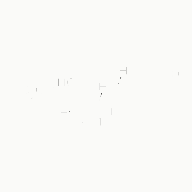 C[C@]12CCC(=O)C=C1C=C[C@H]1[C@@H]3[C@H]4C[C@@H]4[C@@](O)(CCC(=O)O)[C@@]3(C)CC[C@@H]12